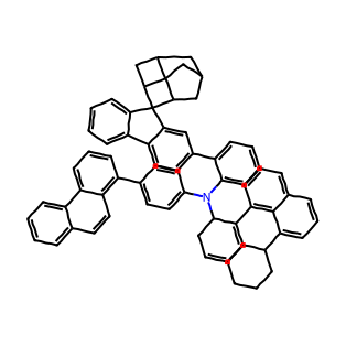 C1=CCC(N(c2ccc(-c3cccc4c3ccc3ccccc34)cc2)c2ccccc2-c2ccc3c(c2)C2(c4ccccc4-3)C3CC4CC5CC2C53C4)C(c2cccc3cccc(C4CCCCC4)c23)=C1